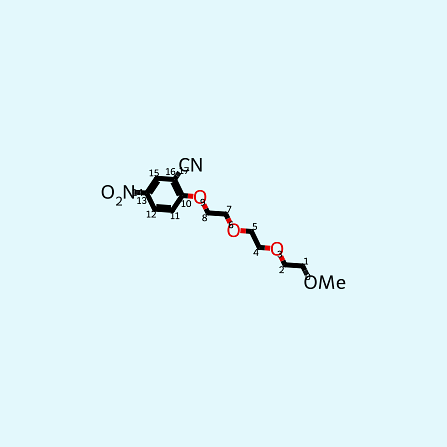 COCCOCCOCCOc1ccc([N+](=O)[O-])cc1C#N